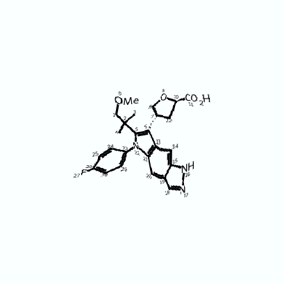 COCC(C)(C)c1c([C@@H]2CO[C@@H](C(=O)O)C2)c2cc3[nH]ncc3cc2n1-c1ccc(F)cc1